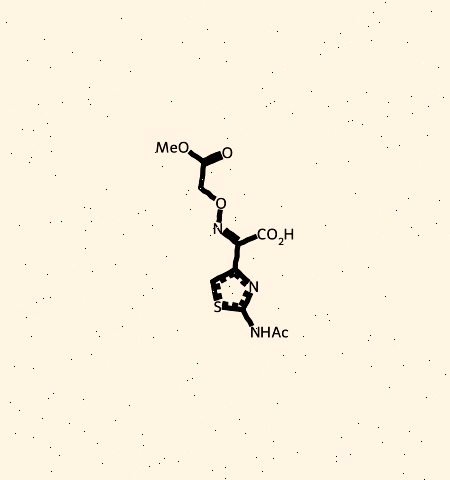 COC(=O)CON=C(C(=O)O)c1csc(NC(C)=O)n1